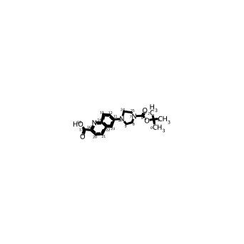 CC(C)(C)OC(=O)N1CCN(c2ccc3nc(C(=O)O)ccc3c2)CC1